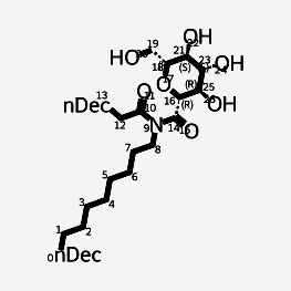 CCCCCCCCCCCCCCCCCCN(C(=O)CCCCCCCCCCC)C(=O)[C@@H]1O[C@H](CO)[C@@H](O)[C@H](O)[C@H]1O